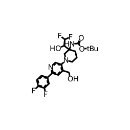 CC(C)(C)OC(=O)NC1(C(O)C(F)F)CCCN(c2cnc(-c3ccc(F)c(F)c3)cc2CO)C1